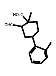 Cc1ccccc1C1CCC(C)(C(=O)O)C(C=O)C1